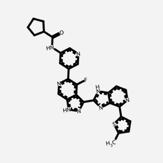 Cc1ccc(-c2nccc3[nH]c(-c4n[nH]c5cnc(-c6cncc(NC(=O)C7CCCC7)c6)c(F)c45)nc23)s1